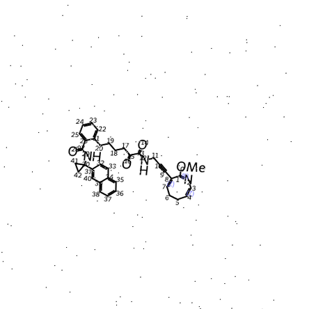 COC1=N/C=C\CC/C=C\1C#CCNC(=O)C(=O)CCCCc1ccccc1C(=O)NC1(c2ccc3ccccc3c2)CC1